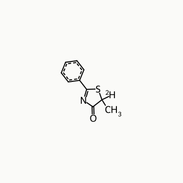 [2H]C1(C)SC(c2ccccc2)=NC1=O